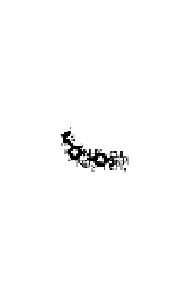 C[Si](C)(O)c1ccc(C(=O)Nc2cc(-c3cccs3)ccc2N)cc1